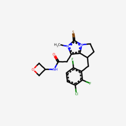 Cn1c(CC(=O)NC2COC2)c2n(c1=S)CCC2Cc1c(F)ccc(Cl)c1F